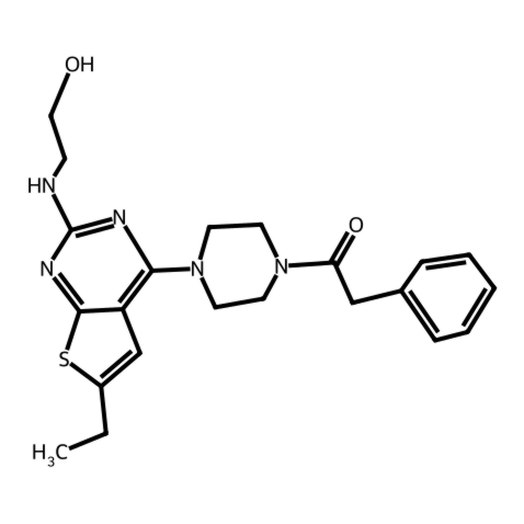 CCc1cc2c(N3CCN(C(=O)Cc4ccccc4)CC3)nc(NCCO)nc2s1